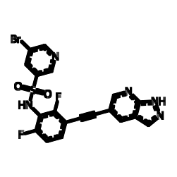 O=S(=O)(Nc1c(F)ccc(C#Cc2cnc3[nH]ncc3c2)c1F)c1cncc(Br)c1